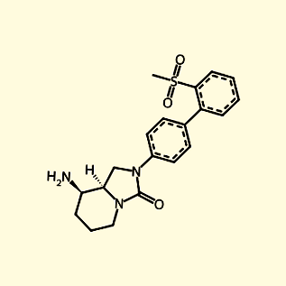 CS(=O)(=O)c1ccccc1-c1ccc(N2C[C@@H]3[C@H](N)CCCN3C2=O)cc1